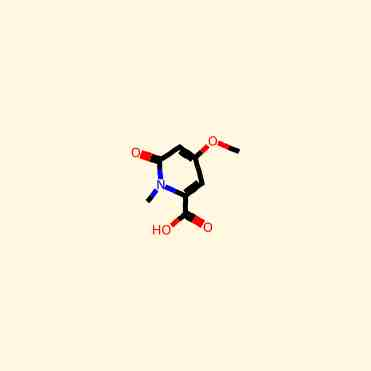 COc1cc(C(=O)O)n(C)c(=O)c1